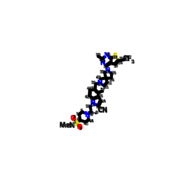 CNS(=O)(=O)C1CCN([C@@H](C)Cn2c(C#N)cc3c(C)c(CN4CCC5(CCN(c6nc(C)nc7sc(CC(F)(F)F)cc67)C5)C4)ccc32)CC1